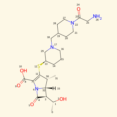 C[C@@H](O)[C@H]1C(=O)N2C(C(=O)O)=C(S[C@@H]3CCCN(CC4CCN(C(=O)CN)CC4)C3)[C@H](C)[C@H]12